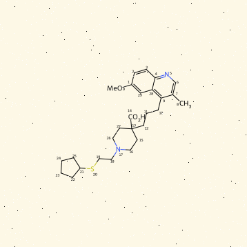 COc1ccc2ncc(C)c(CCCC3(C(=O)O)CCN(CCSC4CCCC4)CC3)c2c1